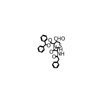 O=CC1CS[C@H]2C(NC(=O)Cc3ccccc3)C(=O)N2C1C(=O)OC(c1ccccc1)c1ccccc1